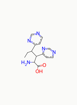 CCC(c1ccncn1)C(c1ccncn1)C(N)C(=O)O